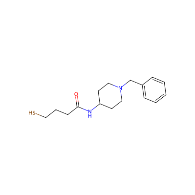 O=C(CCCS)NC1CCN(Cc2ccccc2)CC1